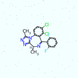 Cc1nnc2n1-c1ccc(Cl)c(Cl)c1C(c1c(F)cccc1F)=N[C@H]2C